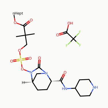 CCCCCCCOC(=O)C(C)(C)COS(=O)(=O)ON1C(=O)N2C[C@H]1CC[C@H]2C(=O)NC1CCNCC1.O=C(O)C(F)(F)F